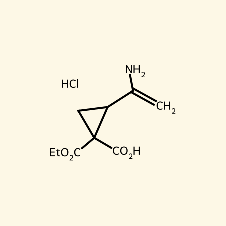 C=C(N)C1CC1(C(=O)O)C(=O)OCC.Cl